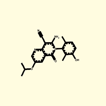 Cc1ccc(O)c(C)c1-n1c(N)c(C#N)c2ncc(OC(C)C)cc2c1=O